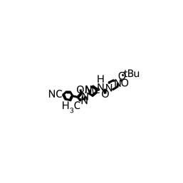 COc1c(-c2ccc(C#N)cc2)c(C)nn1-c1ccc(NC(=O)N2CCN(C(=O)OC(C)(C)C)CC2)cn1